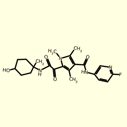 Cc1c(C(=O)Nc2ccc(F)nc2)c(C)n(C)c1C(=O)C(=O)NC1(C)CCC(O)CC1